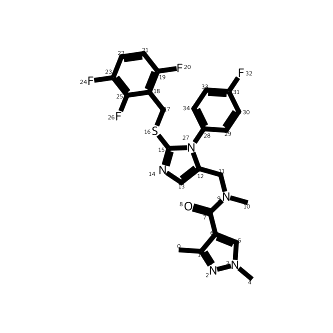 Cc1nn(C)cc1C(=O)N(C)Cc1cnc(SCc2c(F)ccc(F)c2F)n1-c1ccc(F)cc1